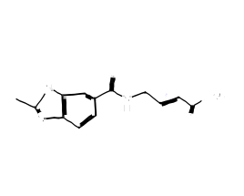 COC(=O)/C=C/CNC(=O)c1ccc2nc(C)[nH]c2c1